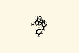 C1CCN(CC2CON=C([C@@]34CNCC3COC4)O2)CC1